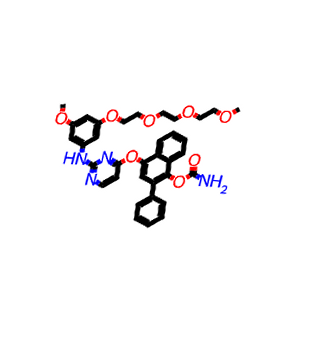 COCCOCCOCCOc1cc(Nc2nccc(Oc3cc(-c4ccccc4)c(OC(N)=O)c4ccccc34)n2)cc(OC)c1